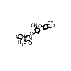 Cn1c(N2CCOCC2)cc(OCc2ccc(Oc3ccc(F)c(C(F)(F)F)c3)c(C#N)c2)nc1=O